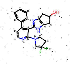 OC1Cc2nc(-c3c(-c4ccccc4)ccnc3N3CCC(F)(F)C3)[nH]c2C1